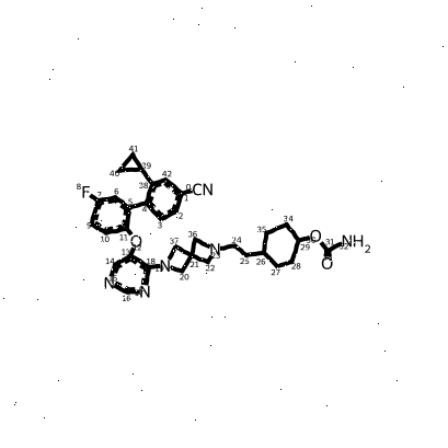 N#Cc1ccc(-c2cc(F)ccc2Oc2cncnc2N2CC3(CN(CCC4CCC(OC(N)=O)CC4)C3)C2)c(C2CC2)c1